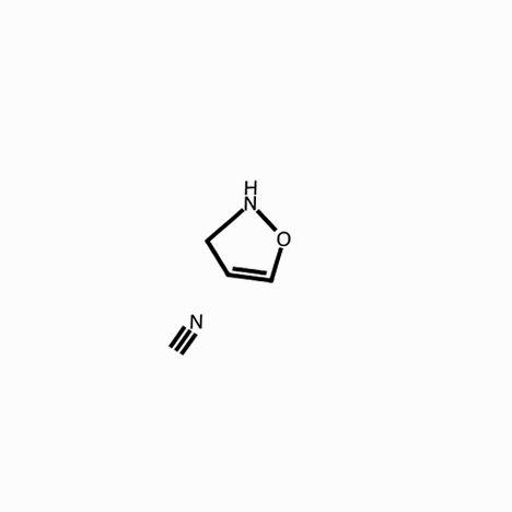 C#N.C1=CONC1